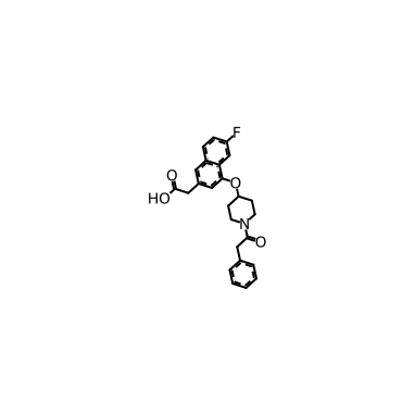 O=C(O)Cc1cc(OC2CCN(C(=O)Cc3ccccc3)CC2)c2cc(F)ccc2c1